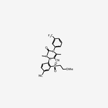 COCCS(=O)(=O)c1cc(C#N)ccc1[C@@H]1C(C#N)=C(C)N(c2cccc(C(F)(F)F)c2)C(=O)N1C